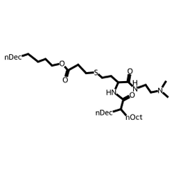 CCCCCCCCCCCCCCOC(=O)CCSCCC(NC(=O)C(CCCCCCCC)CCCCCCCCCC)C(=O)NCCN(C)C